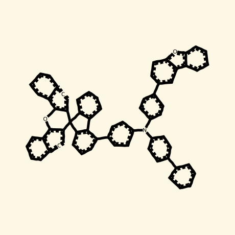 c1ccc(-c2ccc(N(c3ccc(-c4ccc5oc6ccccc6c5c4)cc3)c3ccc(-c4cccc5c4-c4ccccc4C54c5ccc6ccccc6c5Oc5c4ccc4ccccc54)cc3)cc2)cc1